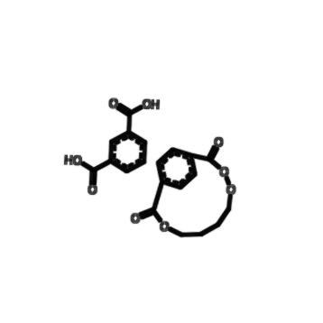 O=C(O)c1cccc(C(=O)O)c1.O=C1OCCCCOOC(=O)c2ccc1cc2